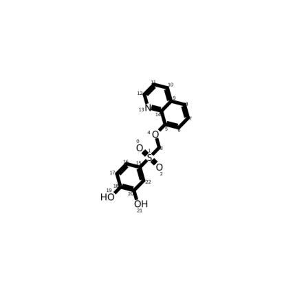 O=S(=O)(COc1cccc2cccnc12)c1ccc(O)c(O)c1